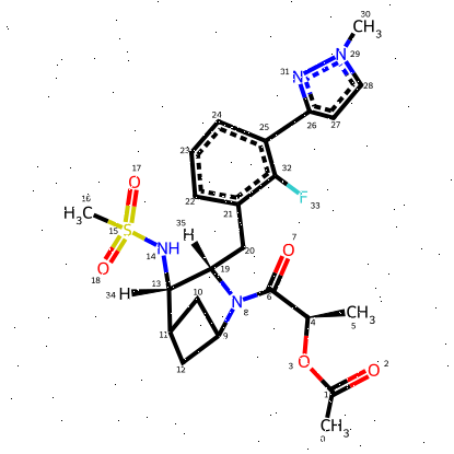 CC(=O)O[C@H](C)C(=O)N1C2CC(C2)[C@H](NS(C)(=O)=O)[C@@H]1Cc1cccc(-c2ccn(C)n2)c1F